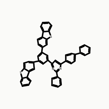 c1ccc(-c2ccc(-c3cc(-c4cc(-c5ccc6c(c5)sc5ccccc56)cc(-c5ccc6sc7ccccc7c6c5)c4)nc(-c4ccccc4)n3)cc2)cc1